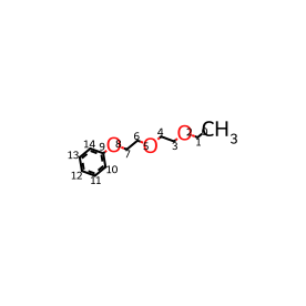 CCOCCOCCOc1ccccc1